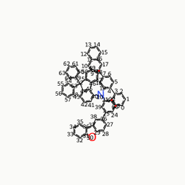 c1ccc(-c2ccc(-c3ccc4ccccc4c3)cc2N(c2cccc(-c3ccc4oc5ccccc5c4c3)c2)c2cccc3c2-c2ccccc2C3(c2ccccc2)c2ccccc2)cc1